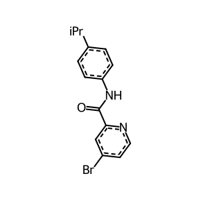 CC(C)c1ccc(NC(=O)c2cc(Br)ccn2)cc1